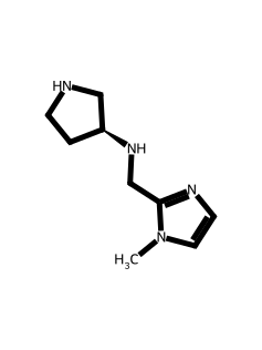 Cn1ccnc1CN[C@H]1CCNC1